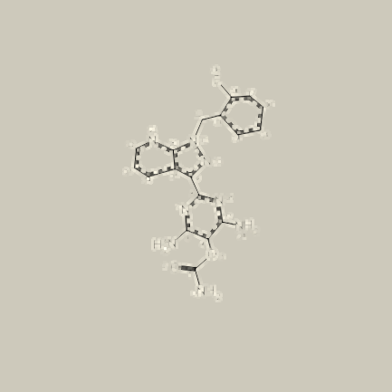 NC(=O)Oc1c(N)nc(-c2nn(Cc3ccccc3F)c3ncccc23)nc1N